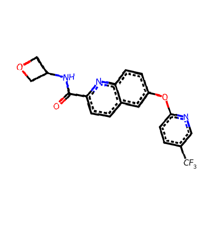 O=C(NC1COC1)c1ccc2cc(Oc3ccc(C(F)(F)F)cn3)ccc2n1